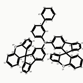 c1ccc(-c2cccc(N(c3ccc4c(c3)C3(c5ccccc5Oc5ccccc53)c3ccccc3-4)c3ccc4c(c3)C3(c5ccccc5Oc5ccccc53)c3ccccc3-4)c2)cc1